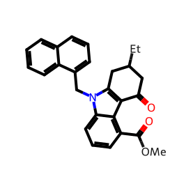 CCC1CC(=O)c2c(n(Cc3cccc4ccccc34)c3cccc(C(=O)OC)c23)C1